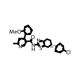 COc1ccccc1-c1cc(C)ncc1C(=O)Nc1nc2c(s1)C[C@@H](c1ccc(Cl)cc1)CC2